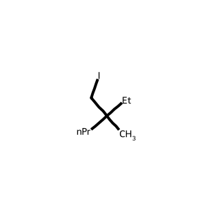 CCCC(C)(CC)CI